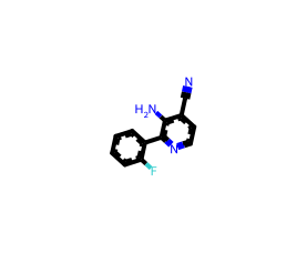 N#Cc1ccnc(-c2ccccc2F)c1N